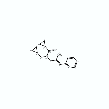 C/C(=C\c1ccccc1)CN(CC1CC1)C(=O)C1CC1